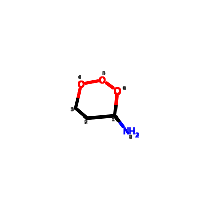 NC1CCOOO1